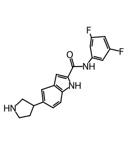 O=C(Nc1cc(F)cc(F)c1)c1cc2cc(C3CCNC3)ccc2[nH]1